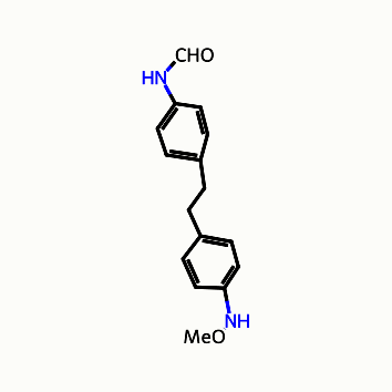 CONc1ccc(CCc2ccc(NC=O)cc2)cc1